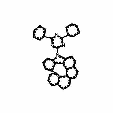 c1ccc(-c2nc(-c3ccccc3)nc(-n3c4cccc5c4c4c6c(ccc7ccc8cccc-5c8c76)ccc43)n2)cc1